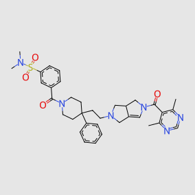 Cc1ncnc(C)c1C(=O)N1C=C2CN(CCC3(c4ccccc4)CCN(C(=O)c4cccc(S(=O)(=O)N(C)C)c4)CC3)CC2C1